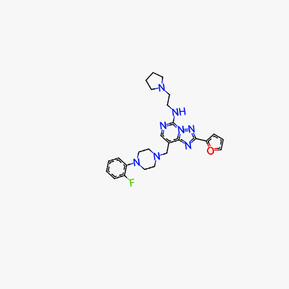 Fc1ccccc1N1CCN(Cc2cnc(NCCN3CCCC3)n3nc(-c4ccco4)nc23)CC1